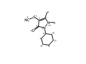 Cc1c(SC#N)c(=O)n(C2CCCCC2)n1C